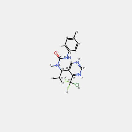 Cc1ccc(NC(=O)N(C)C(c2cncnc2C(F)(F)Cl)C(C)C)cc1